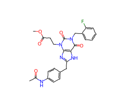 COC(=O)CCn1c(=O)n(Cc2ccccc2F)c(=O)c2[nH]c(Cc3ccc(NC(C)=O)cc3)nc21